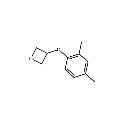 Cc1ccc(OC2COC2)c(C)c1